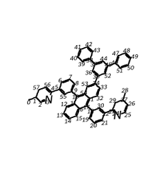 CC1C=NC(c2cccc(-c3c4ccccc4c(-c4cccc(C5=NC=CC(C)C5)c4)c4ccc(-c5cc(-c6ccccc6)cc(-c6ccccc6)c5)cc34)c2)=CC1